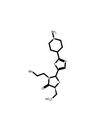 BN1CCC(c2ncc(C3S[C@@H](CC(=O)O)C(=O)N3CCC(C)(C)C)s2)CC1